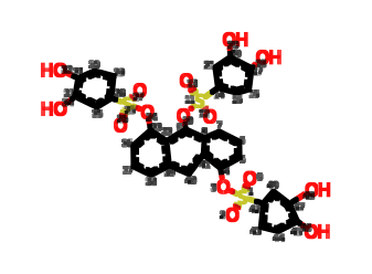 O=S(=O)(Oc1cccc2c(OS(=O)(=O)c3ccc(O)c(O)c3)c3c(OS(=O)(=O)c4ccc(O)c(O)c4)cccc3cc12)c1ccc(O)c(O)c1